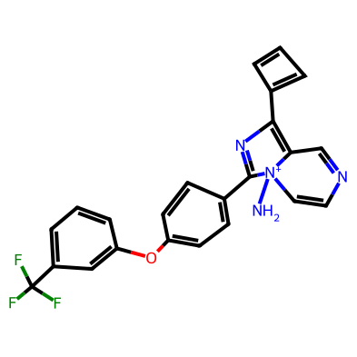 N[N+]12C=CN=CC1=C(C1=CC=C1)N=C2c1ccc(Oc2cccc(C(F)(F)F)c2)cc1